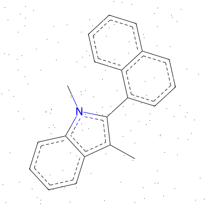 Cc1c(-c2cccc3ccccc23)n(C)c2ccccc12